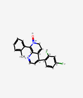 Cc1ccccc1C1=c2nccc(-c3ccc(F)cc3F)c2=CC[N+]1=O